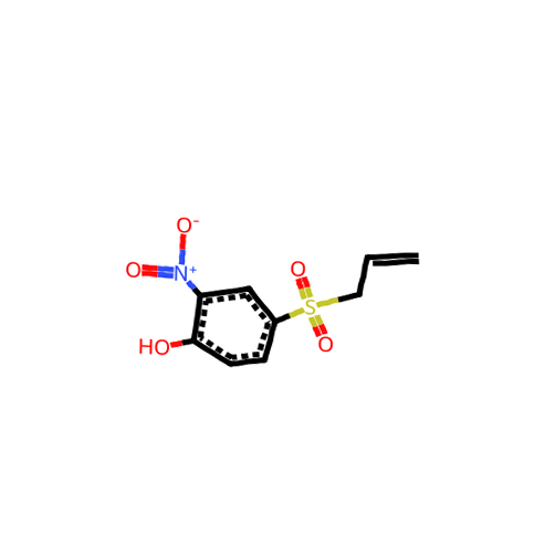 C=CCS(=O)(=O)c1ccc(O)c([N+](=O)[O-])c1